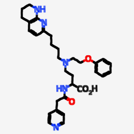 O=C(Cc1ccncc1)NC(CCN(CCCCc1ccc2c(n1)NCCC2)CCOc1ccccc1)C(=O)O